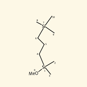 CO[Si](C)(C)CCC[Si](C)(C)C